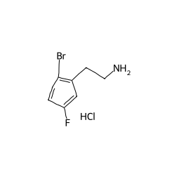 Cl.NCCc1cc(F)ccc1Br